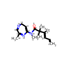 C=C/C=C(\CC)C(C)(C)C(=O)N(C)C1=CCN=CC(C)=N1